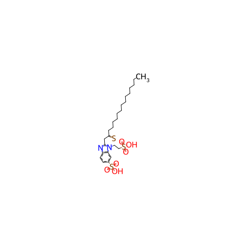 CCCCCCCCCCCCCCC(=S)Cc1nc2ccc(S(=O)(=O)O)cc2n1CCS(=O)(=O)O